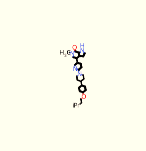 CC(C)CCOc1ccc(C2CCN(c3ccc(-c4cn(C)c(=O)c5[nH]ccc45)cn3)CC2)cc1